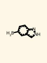 Bc1ccc2n[nH]cc2c1